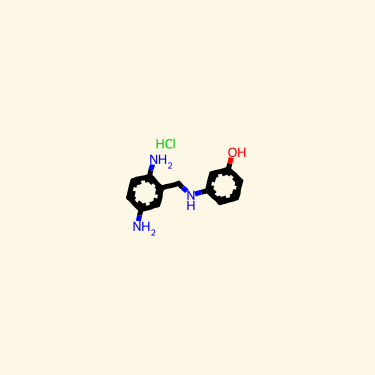 Cl.Nc1ccc(N)c(CNc2cccc(O)c2)c1